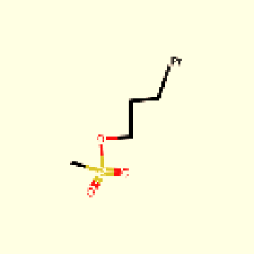 CC(C)CCCOS(C)(=O)=O